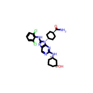 NC(=O)[C@H]1CC[C@H](n2c(Nc3c(Cl)cccc3Cl)nc3cnc(N[C@@H]4CCC[C@H](O)C4)nc32)CC1